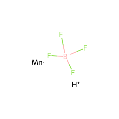 F[B-](F)(F)F.[H+].[Mn]